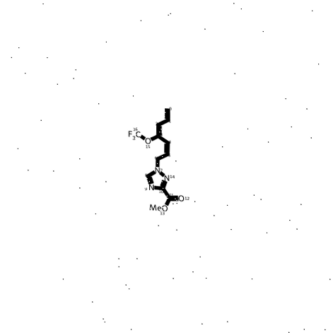 C=C/C=C(\C=C/Cn1cnc(C(=O)OC)n1)OC(F)(F)F